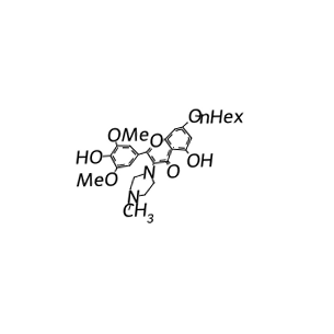 CCCCCCOc1cc(O)c2c(=O)c(N3CCN(C)CC3)c(-c3cc(OC)c(O)c(OC)c3)oc2c1